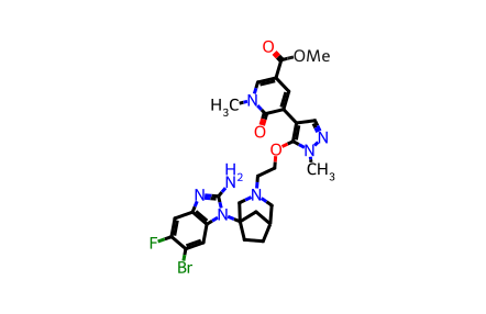 COC(=O)c1cc(-c2cnn(C)c2OCCN2CC3CCC(n4c(N)nc5cc(F)c(Br)cc54)(C3)C2)c(=O)n(C)c1